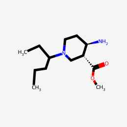 CCCC(CC)N1CC[C@@H](N)[C@H](C(=O)OC)C1